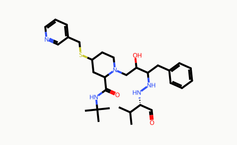 CC(C)[C@@H](C=O)NNC(Cc1ccccc1)C(O)CN1CCC(SCc2cccnc2)CC1C(=O)NC(C)(C)C